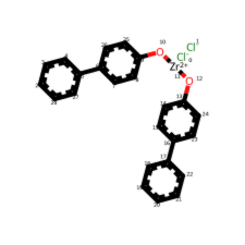 [Cl-].[Cl-].c1ccc(-c2ccc([O][Zr+2][O]c3ccc(-c4ccccc4)cc3)cc2)cc1